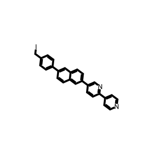 ICc1ccc(-c2ccc3cc(-c4ccc(-c5ccncc5)nc4)ccc3c2)cc1